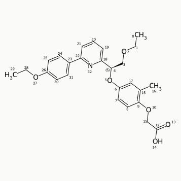 CCOC[C@@H](Oc1ccc(OCC(=O)O)c(C)c1)c1cccc(-c2ccc(OCC)cc2)n1